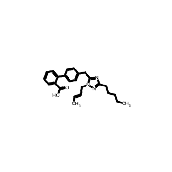 CC=CCn1nc(CCCCC)nc1Cc1ccc(-c2ccccc2C(=O)O)cc1